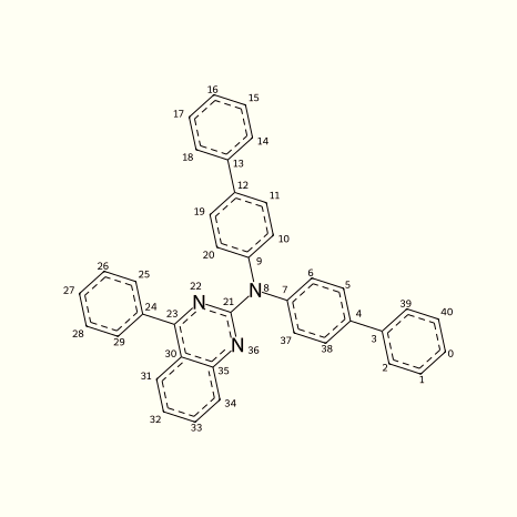 c1ccc(-c2ccc(N(c3ccc(-c4ccccc4)cc3)c3nc(-c4ccccc4)c4ccccc4n3)cc2)cc1